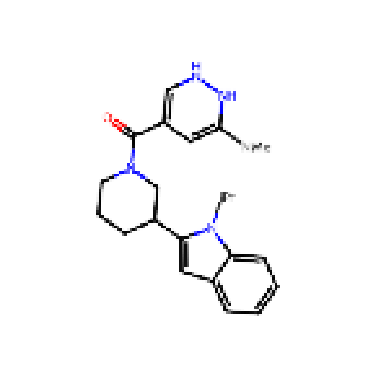 CNC1=CC(C(=O)N2CCCC(c3cc4ccccc4n3C(C)C)C2)=CNN1